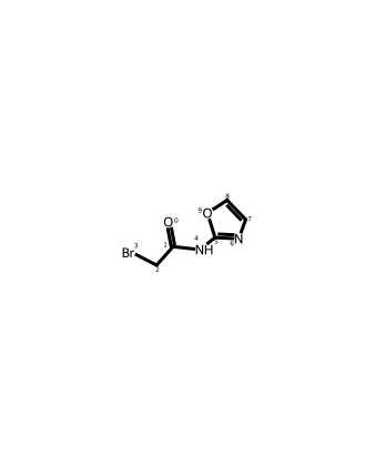 O=C(CBr)Nc1ncco1